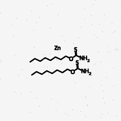 CCCCCCCCOC(N)=S.CCCCCCCCOC(N)=S.[Zn]